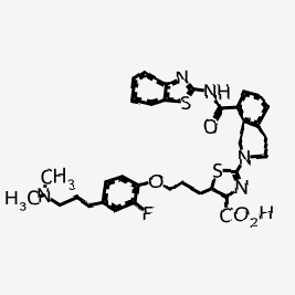 CN(C)CCCc1ccc(OCCCC2SC(N3CCc4cccc(C(=O)Nc5nc6ccccc6s5)c4C3)=NC2C(=O)O)c(F)c1